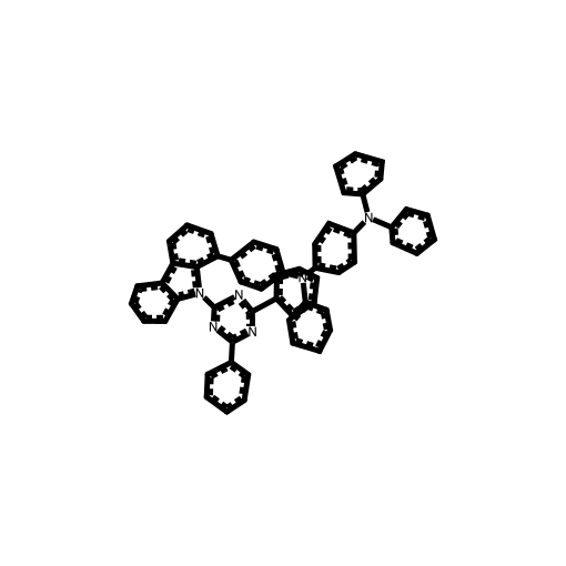 c1ccc(-c2nc(-c3ccccc3)nc(-n3c4ccccc4c4cccc(-c5ccc(N(c6ccccc6)c6ccc(N(c7ccccc7)c7ccccc7)cc6)cc5)c43)n2)cc1